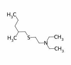 CCCC(C)CSCCN(CC)CC